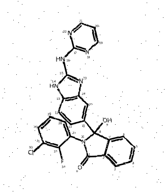 O=C1c2ccccc2C(O)(c2ccc3[nH]c(Nc4ncccn4)nc3c2)N1c1cccc(Cl)c1F